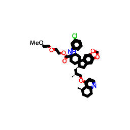 COCCOCCOC(=O)C1(Nc2cccc(Cl)c2)CCC2(CC1)c1cc3c(cc1C[C@@H]2C[C@@H](C)COc1ccnc2c1[C@H](C)CCC2)OCO3